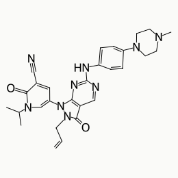 C=CCn1c(=O)c2cnc(Nc3ccc(N4CCN(C)CC4)cc3)nc2n1-c1cc(C#N)c(=O)n(C(C)C)c1